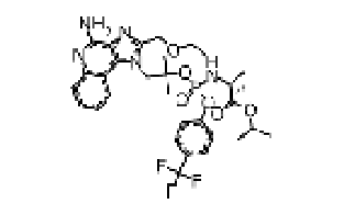 CCOCc1nc2c(N)nc3ccccc3c2n1CC(C)(C)OP(=O)(N[C@@H](C)C(=O)OC(C)C)Oc1ccc(C(F)(F)F)cc1